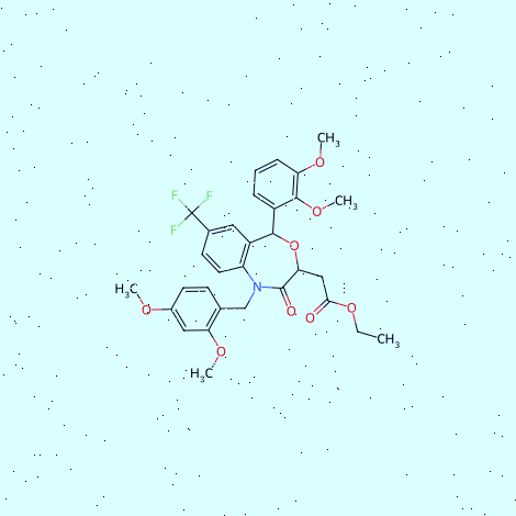 CCOC(=O)CC1OC(c2cccc(OC)c2OC)c2cc(C(F)(F)F)ccc2N(Cc2ccc(OC)cc2OC)C1=O